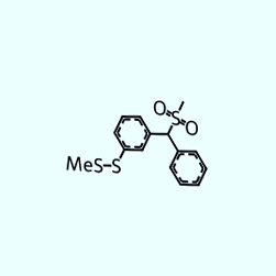 CSSc1cccc(C(c2ccccc2)S(C)(=O)=O)c1